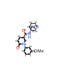 COc1cccc(-n2cc(C(=O)NC3CN4CCC3CC4)ccc2=O)c1